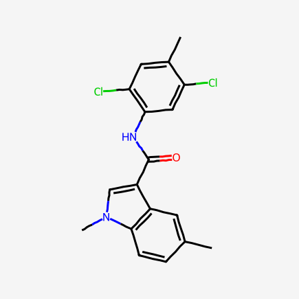 Cc1ccc2c(c1)c(C(=O)Nc1cc(Cl)c(C)cc1Cl)cn2C